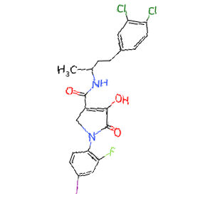 CC(CCc1ccc(Cl)c(Cl)c1)NC(=O)C1=C(O)C(=O)N(c2ccc(I)cc2F)C1